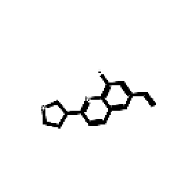 C=Cc1cc(F)c2nc(C3CCOC3)ccc2c1